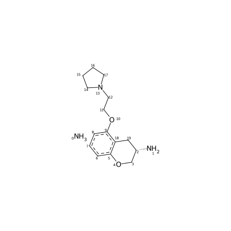 N.N[C@@H]1COc2cccc(OCCN3CCCC3)c2C1